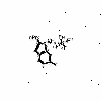 CCCc1cc2ccc(C)cc2[s+]1C(F)(F)F.F[B-](F)(F)F